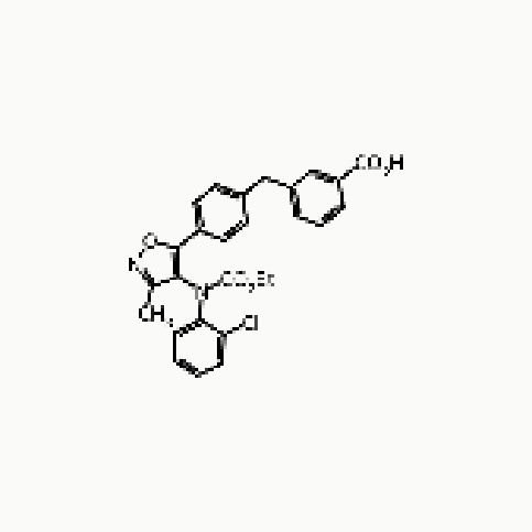 CCOC(=O)N(c1ccccc1Cl)c1c(C)noc1-c1ccc(Cc2cccc(C(=O)O)c2)cc1